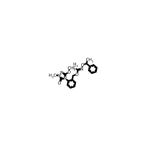 COc1nn(C)c(=O)n1-c1ccccc1CO/C(C)=N/OC(C)c1ccccc1